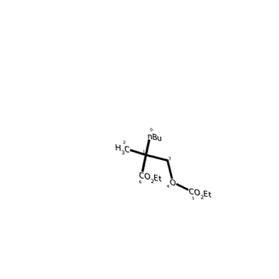 CCCCC(C)(COC(=O)OCC)C(=O)OCC